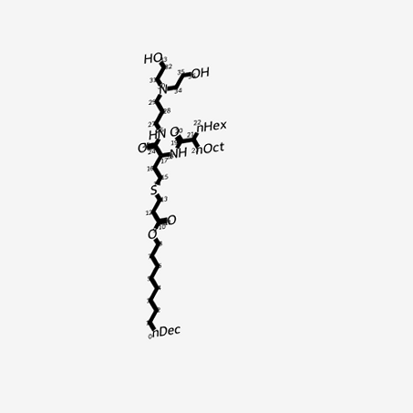 CCCCCCCCCCCCCCCCCCOC(=O)CCSCCC(NC(=O)C(CCCCCC)CCCCCCCC)C(=O)NCCCN(CCO)CCO